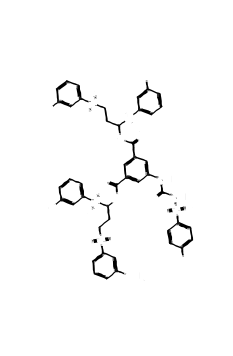 Cc1ccc(S(=O)(=O)NC(=O)Nc2cc(C(=O)OC(CCS(=O)(=O)c3cccc(C)c3)S(=O)(=O)c3cccc(C)c3)cc(C(=O)OC(CCS(=O)(=O)c3cccc(C)c3)S(=O)(=O)c3cccc(C)c3)c2)cc1